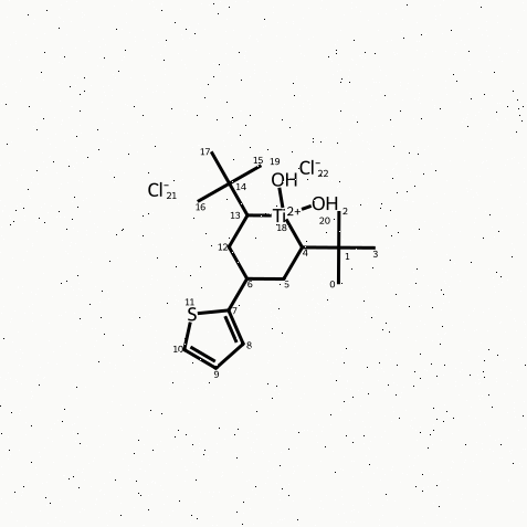 CC(C)(C)[CH]1CC(c2cccs2)C[CH](C(C)(C)C)[Ti+2]1([OH])[OH].[Cl-].[Cl-]